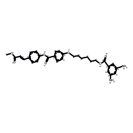 COC(=O)/C=C/c1ccc(OC(=O)c2ccc(OCCCCCCOC(=O)c3cc(N)cc(N)c3)cc2)cc1